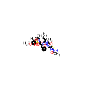 CC[C@H](C)[C@@H](C(=O)N[C@@H](Cc1ccccc1)[C@@H](O)CN(CC(C)C)S(=O)(=O)c1ccc(OC)cc1)N1CC(=O)N(Cc2csc(NC(C)=O)n2)C1=O